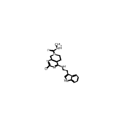 CNC(=O)N1CCc2c(nc(Cl)nc2NCCc2c[nH]c3ccccc23)C1